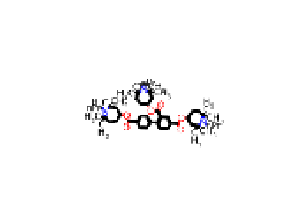 CCCN1C(C)(C)CCC(OC(=O)c2ccc(-c3ccc(C(=O)OC4CCC(C)(C)N(CCC)C(C)(C)C4)cc3C(=O)OC3CCC(C)(C)N(CCC)C(C)(C)C3)cc2)CC1(C)C